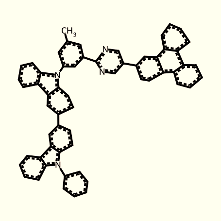 Cc1cc(-c2ncc(-c3ccc4c5ccccc5c5ccccc5c4c3)cn2)cc(-n2c3ccccc3c3cc(-c4ccc5c(c4)c4ccccc4n5-c4ccccc4)ccc32)c1